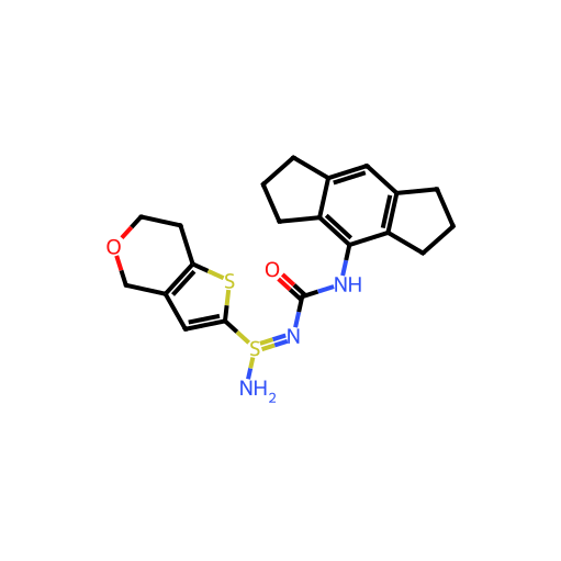 N/S(=N/C(=O)Nc1c2c(cc3c1CCC3)CCC2)c1cc2c(s1)CCOC2